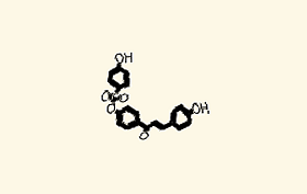 O=C(/C=C/c1ccc(O)cc1)c1ccc(OS(=O)(=O)c2ccc(O)cc2)cc1